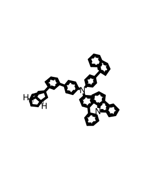 c1cc(-c2ccc(N(c3ccc(-c4ccccc4-n4c5ccccc5c5ccccc54)cc3)c3ccc(-c4cccc5ccccc45)cc3)cc2)cc(C23CC4[C@@H](CC[C@H]4C2)C3)c1